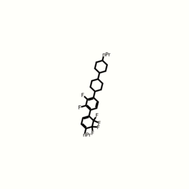 CCCC1=CC=C(c2ccc(C3CCC(C4CCC(CCC)CC4)CC3)c(F)c2F)C(F)(F)C1(F)F